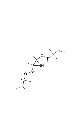 CC(C)C(C)(C)OBC1(C)NC1(C)OPC(C)(C)C(C)C